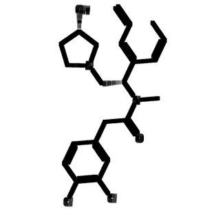 C=C/C=C(\C=C/C)[C@@H](CN1CC[C@H](O)C1)N(C)C(=O)Cc1ccc(Cl)c(Cl)c1